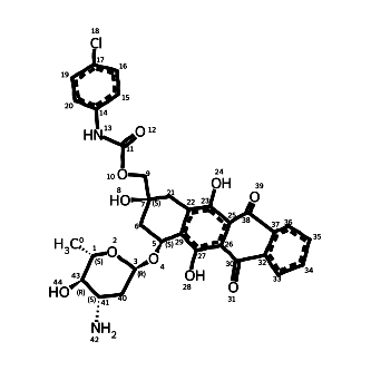 C[C@@H]1O[C@@H](O[C@H]2C[C@](O)(COC(=O)Nc3ccc(Cl)cc3)Cc3c(O)c4c(c(O)c32)C(=O)c2ccccc2C4=O)C[C@H](N)[C@H]1O